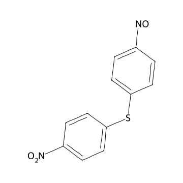 O=Nc1ccc(Sc2ccc([N+](=O)[O-])cc2)cc1